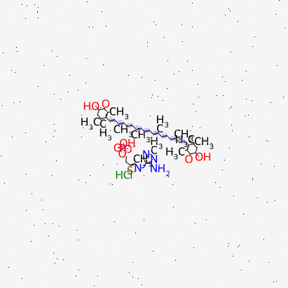 CC1=C(/C=C/C(C)=C/C=C/C(C)=C/C=C/C=C(C)/C=C/C=C(C)/C=C/C2=C(C)C(=O)C(O)CC2(C)C)C(C)(C)CC(O)C1=O.Cc1ncc(C[n+]2csc(CCOP(=O)([O-])O)c2C)c(N)n1.Cl